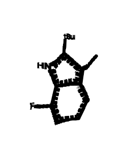 Cc1c(C(C)(C)C)[nH]c2c(F)cccc12